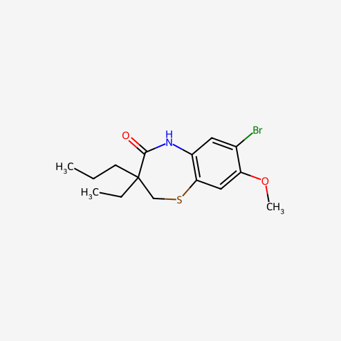 CCCC1(CC)CSc2cc(OC)c(Br)cc2NC1=O